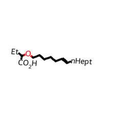 CCCCCCCC=CCCCCCOC(CC)C(=O)O